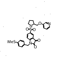 CSc1ccc(CN2C(=O)C(=O)c3cc(S(=O)(=O)N4CCCC4COc4cccnc4)ccc32)cc1